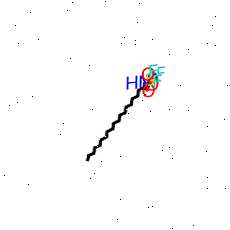 CCCCCCCCCCCCCCCCCCC(=O)NS(=O)(=O)C(F)(F)F